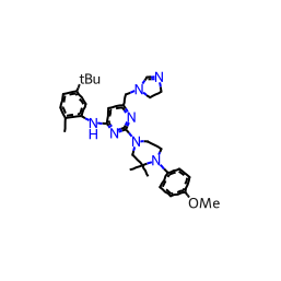 COc1ccc(N2CCN(c3nc(CN4C=NCC4)cc(Nc4cc(C(C)(C)C)ccc4C)n3)CC2(C)C)cc1